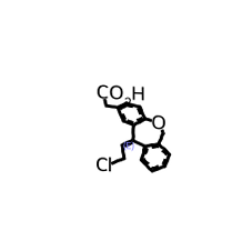 O=C(O)Cc1ccc2c(c1)/C(=C/CCl)c1ccccc1CO2